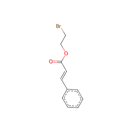 O=C(C=Cc1ccccc1)OCCBr